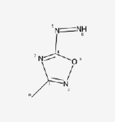 Cc1noc(N=N)n1